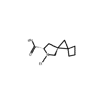 CCN1C[C@@]2(C[C@H]1C(=O)C(C)(C)C)CC21CCC1